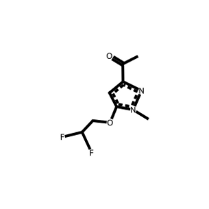 CC(=O)c1cc(OCC(F)F)n(C)n1